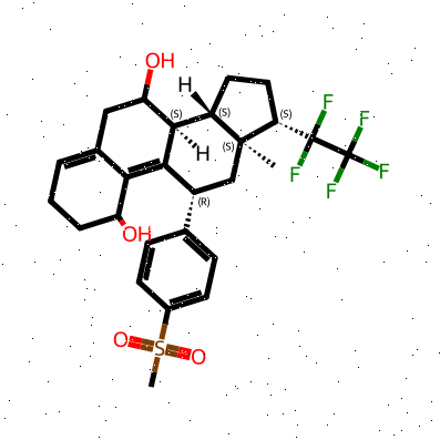 C[C@]12C[C@H](c3ccc(S(C)(=O)=O)cc3)C3=C4C(=CCCC4O)CC(O)[C@H]3[C@@H]1CC[C@@H]2C(F)(F)C(F)(F)F